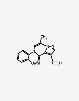 COc1ccccc1-n1cc(C)n2ncc(C(=O)O)c2c1=O